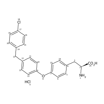 Cl.N[C@@H](Cc1ccc(Oc2ccc(Cc3ccc(Cl)cc3)cc2)cc1)C(=O)O